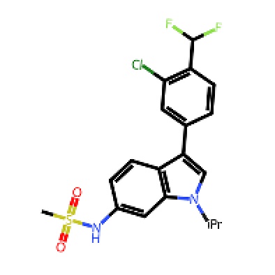 CC(C)n1cc(-c2ccc(C(F)F)c(Cl)c2)c2ccc(NS(C)(=O)=O)cc21